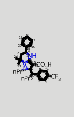 CCCC(c1ccc(C(F)(F)F)cc1)C1C(C(=O)O)=C2NC(c3ccccc3)CC(C)(C)N2N1CCC